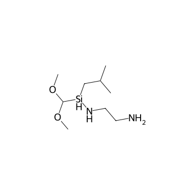 COC(OC)[SiH](CC(C)C)NCCN